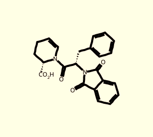 O=C(O)[C@@H]1CCC=CN1C(=O)[C@H](Cc1ccccc1)N1C(=O)c2ccccc2C1=O